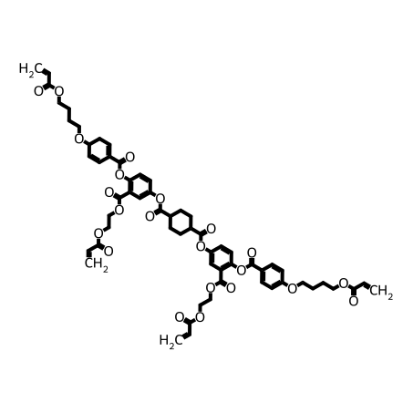 C=CC(=O)OCCCCOc1ccc(C(=O)Oc2ccc(OC(=O)C3CCC(C(=O)Oc4ccc(OC(=O)C5=CCC(OCCCCOC(=O)C=C)C=C5)c(C(=O)OCCOC(=O)C=C)c4)CC3)cc2C(=O)OCCOC(=O)C=C)cc1